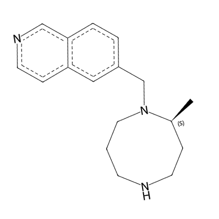 C[C@H]1CCNCCCN1Cc1ccc2cnccc2c1